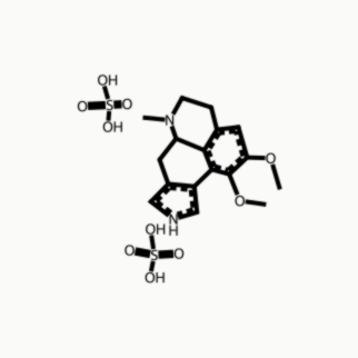 COc1cc2c3c(c1OC)-c1c[nH]cc1CC3N(C)CC2.O=S(=O)(O)O.O=S(=O)(O)O